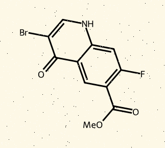 COC(=O)c1cc2c(=O)c(Br)c[nH]c2cc1F